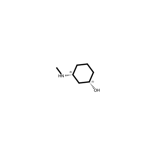 CN[C@@H]1CCC[C@H](O)C1